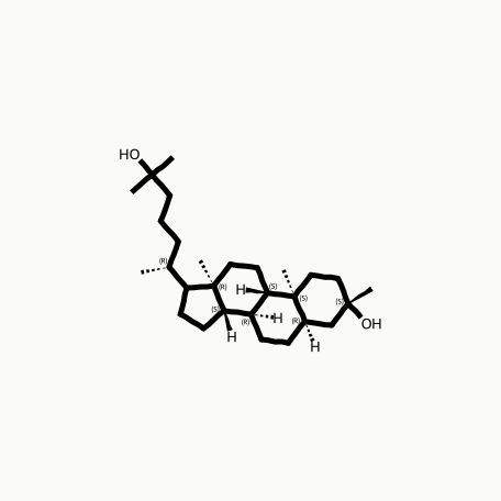 C[C@H](CCCC(C)(C)O)C1CC[C@H]2[C@@H]3CC[C@@H]4C[C@@](C)(O)CC[C@]4(C)[C@H]3CC[C@]12C